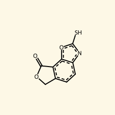 O=C1OCc2ccc3nc(S)oc3c21